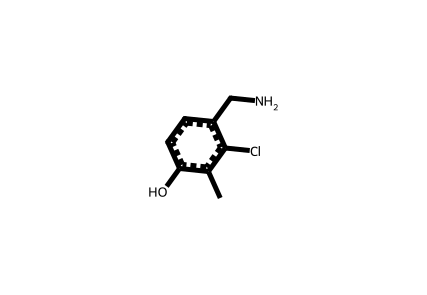 Cc1c(O)ccc(CN)c1Cl